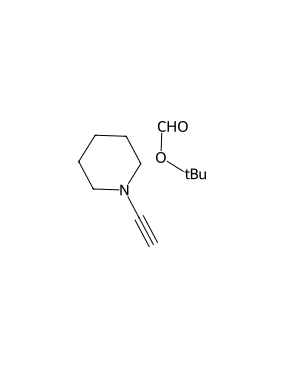 C#CN1CCCCC1.CC(C)(C)OC=O